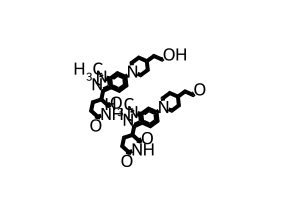 Cn1nc(C2CCC(=O)NC2=O)c2ccc(N3CCC(CC=O)CC3)cc21.Cn1nc(C2CCC(=O)NC2=O)c2ccc(N3CCC(CCO)CC3)cc21